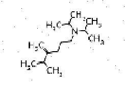 C=C(C)C(=C)CCCN(C(C)C)C(C)C